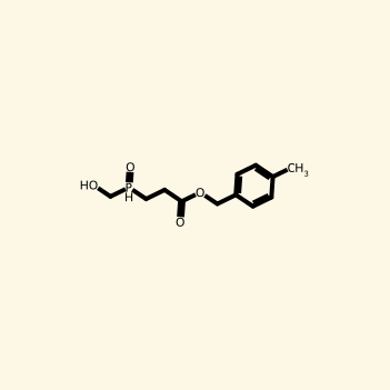 Cc1ccc(COC(=O)CC[PH](=O)CO)cc1